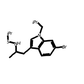 CC(C)Cn1cc(CC(C)NSC(C)C)c2ccc(Br)cc21